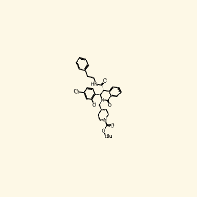 CC(C)(C)OC(=O)N1CCC(CN2C(=O)c3ccccc3[C@@H](C(=O)NCCc3ccccc3)[C@@H]2c2ccc(Cl)cc2Cl)CC1